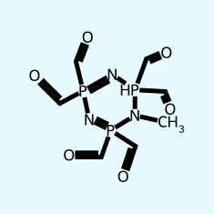 CN1P(C=O)(C=O)=NP(C=O)(C=O)=N[PH]1(C=O)C=O